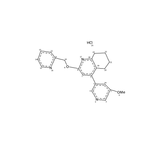 COc1cncc(-c2cc(OCc3ccccn3)nc3c2CCCC3)c1.Cl